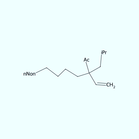 C=CC(CCCCCCCCCCCCC)(CC(C)C)C(C)=O